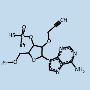 C#CCOC1C(OP(=O)(S)C(C)C)C(COC(C)C)OC1n1cnc2c(N)ncnc21